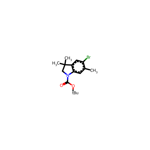 Cc1cc2c(cc1Br)C(C)(C)CN2C(=O)OC(C)(C)C